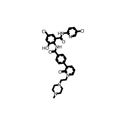 CN1CCN(CCn2cccc(-c3ccc(C(=O)Nc4c(O)cc(Cl)cc4C(=O)Nc4ccc(Cl)cn4)cc3)c2=O)CC1